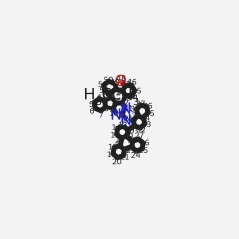 CC1(C)c2ccccc2-c2nc(-n3c4ccc5c6ccccc6c6ccccc6c5c4c4ccc5ccccc5c43)nc(-c3cccc4oc5ccccc5c34)c21